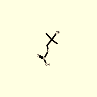 CC(C)(O)COS(=O)O